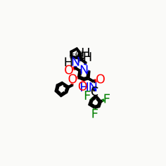 O=C(NCc1c(F)cc(F)cc1F)c1cn2c(c(OCc3ccccc3)c1=O)C(=O)N1[C@H]3CC[C@H](C3)[C@@H]1C2